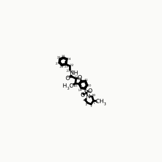 CC1CCCN(S(=O)(=O)c2ccc3c(c2)C(C)C(C(=O)NCCc2ccccc2)O3)C1